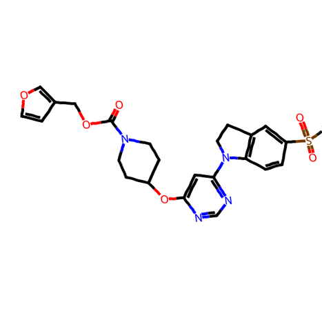 CCS(=O)(=O)c1ccc2c(c1)CCN2c1cc(OC2CCN(C(=O)OCc3ccoc3)CC2)ncn1